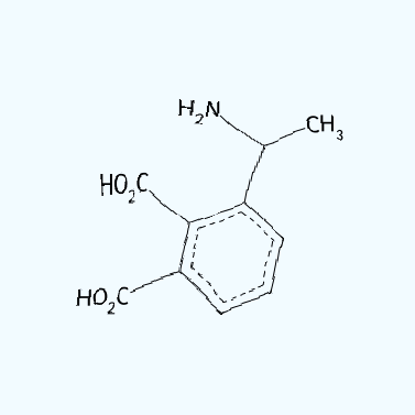 CC(N)c1cccc(C(=O)O)c1C(=O)O